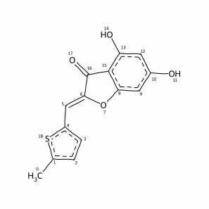 Cc1ccc(/C=C2\Oc3cc(O)cc(O)c3C2=O)s1